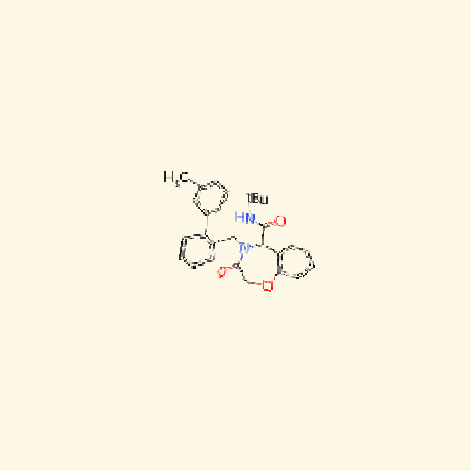 Cc1cccc(-c2ccccc2CN2C(=O)COc3ccccc3C2C(=O)NC(C)(C)C)c1